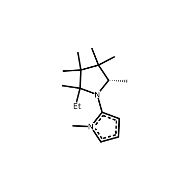 CCC1(C)N(c2cccn2C)[C@@H](C)C(C)(C)C1(C)C